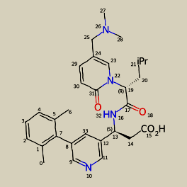 Cc1cccc(C)c1-c1cncc([C@H](CC(=O)O)NC(=O)[C@@H](CC(C)C)n2cc(CN(C)C)ccc2=O)c1